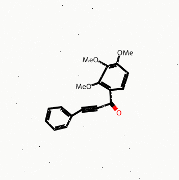 COc1ccc(C(=O)C#Cc2ccccc2)c(OC)c1OC